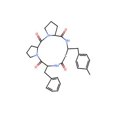 Cc1ccc(CC2CC(=O)NC(Cc3ccccc3)C(=O)N3CCCC3C(=O)N3CCCC3C(=O)N2)cc1